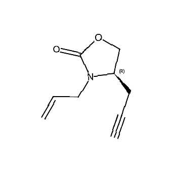 C#CC[C@@H]1COC(=O)N1CC=C